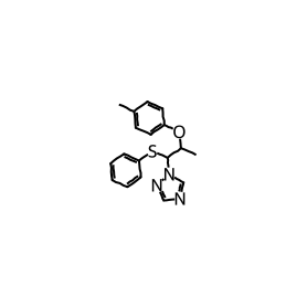 Cc1ccc(OC(C)C(Sc2ccccc2)n2cncn2)cc1